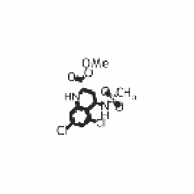 COOC(=O)[C@@H]1C[C@@H](NS(C)(=O)=O)c2c(Cl)cc(Cl)cc2N1